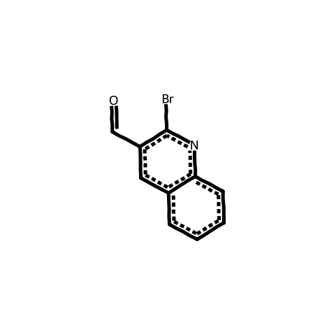 O=Cc1cc2ccccc2nc1Br